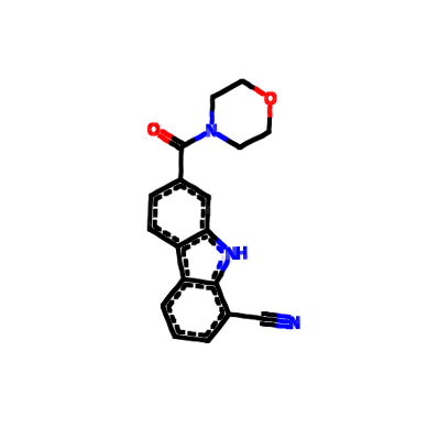 N#Cc1cccc2c1[nH]c1cc(C(=O)N3CCOCC3)ccc12